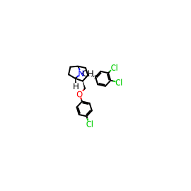 CN1C2CC[C@H]1[C@H](COc1ccc(Cl)cc1)[C@@H](c1ccc(Cl)c(Cl)c1)C2